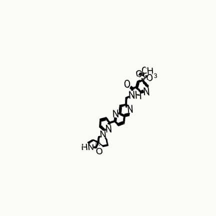 CS(=O)(=O)c1cncc(C(=O)NCc2cc3nc(-c4cccc(N5CCC[C@@]6(CCNC6=O)C5)n4)ccc3cn2)c1